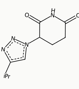 CC(C)c1cn(C2CCC(=O)NC2=O)nn1